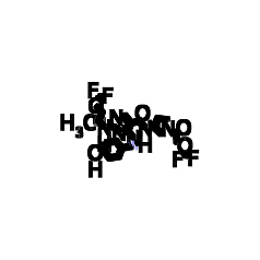 C[C@@H](COC(F)F)Nc1ncc(C(=O)N[C@H]2CCN(C(=O)COC(F)F)C2)c(/N=C\C2CCC(O)CC2)n1